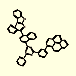 c1ccc(-c2nc(-c3cccc(-c4ccc5ccc6cccc7ccc4c5c67)c3)nc(-c3ccc(-c4nc5oc6ccccc6c5c5ccccc45)c4ccccc34)n2)cc1